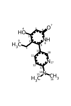 CCc1c(O)cc(=O)[nH]c1-c1ccc(N(C)C)nc1